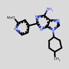 COc1cc(-c2nc(N)c3ncn(C4CCC(C)CC4)c3n2)ccn1